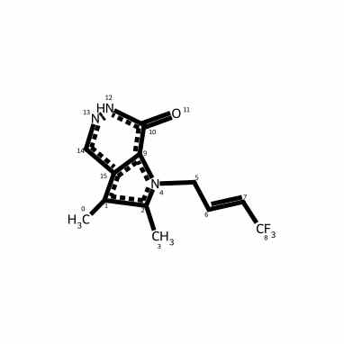 Cc1c(C)n(CC=CC(F)(F)F)c2c(=O)[nH]ncc12